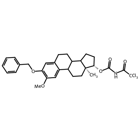 COc1cc2c(cc1OCc1ccccc1)CCC1C2CC[C@@]2(C)C1CC[C@@H]2OC(=O)NC(=O)C(Cl)(Cl)Cl